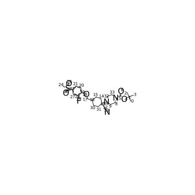 CC(C)(C)OC(=O)N1CCN(C2(C#N)CCC(COc3ccc(S(C)(=O)=O)cc3F)CC2)CC1